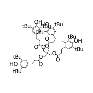 CC1C(C(C)(C)C)=C(O)C(C(C)(C)C)=CC1CCC(=O)OCC(COC(=O)CCc1cc(C(C)(C)C)c(O)c(C(C)(C)C)c1)(COC(=O)CCc1cc(C(C)(C)C)c(O)c(C(C)(C)C)c1)COC(=O)CCc1cc(C(C)(C)C)c(O)c(C(C)(C)C)c1